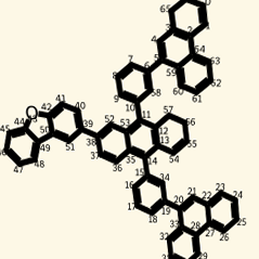 C1=Cc2c(cc(-c3cccc(-c4c5c(c(-c6cccc(-c7cc8ccccc8c8ccccc78)c6)c6ccc(-c7ccc8oc9ccccc9c8c7)cc46)C=CCC5)c3)c3ccccc23)CC1